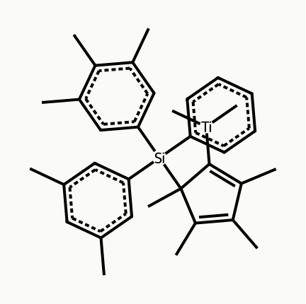 CC1=C(C)C(C)([Si](c2ccccc2)(c2cc(C)cc(C)c2)c2cc(C)c(C)c(C)c2)[C]([Ti]([CH3])[CH3])=C1C